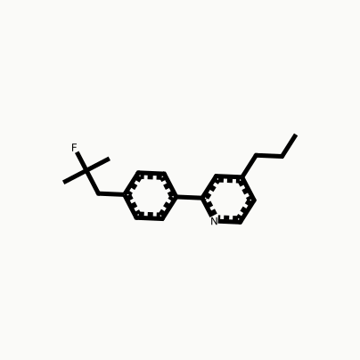 CCCc1ccnc(-c2ccc(CC(C)(C)F)cc2)c1